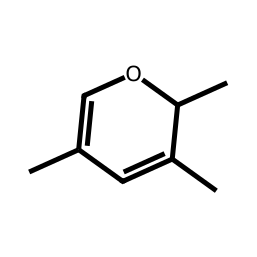 CC1=COC(C)C(C)=C1